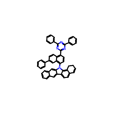 C1=Cc2ccc3c4cc5ccccc5cc4n(-c4ccc(-c5nc(-c6ccccc6)nc(-c6ccccc6)n5)c5ccc(-c6ccccc6)cc45)c3c2CC1